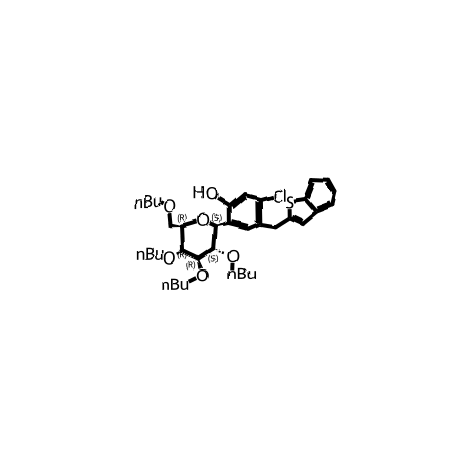 CCCCOC[C@H]1O[C@@H](c2cc(Cc3cc4ccccc4s3)c(Cl)cc2O)[C@H](OCCCC)[C@@H](OCCCC)[C@@H]1OCCCC